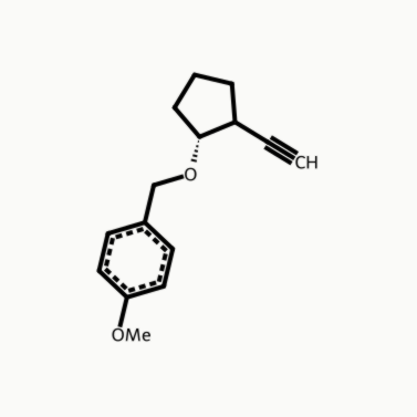 C#CC1CCC[C@H]1OCc1ccc(OC)cc1